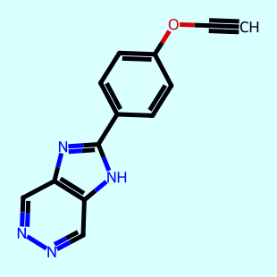 C#COc1ccc(-c2nc3cnncc3[nH]2)cc1